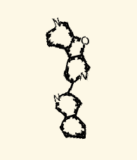 c1ccc2cc(-c3cc4c(cn3)oc3cnccc34)ncc2c1